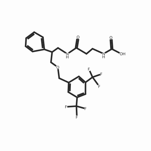 O=C(O)NCCC(=O)NCC(COCc1cc(C(F)(F)F)cc(C(F)(F)F)c1)c1ccccc1